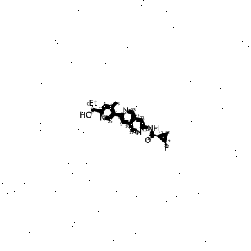 CC[C@@H](O)c1cc(C)c(-c2cc3cnc(NC(=O)[C@H]4C[C@H]4F)cc3cn2)cn1